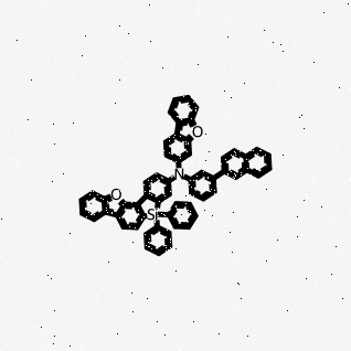 c1ccc([Si]2(c3ccccc3)c3cc(N(c4cccc(-c5ccc6ccccc6c5)c4)c4ccc5c(c4)oc4ccccc45)ccc3-c3c2ccc2c3oc3ccccc32)cc1